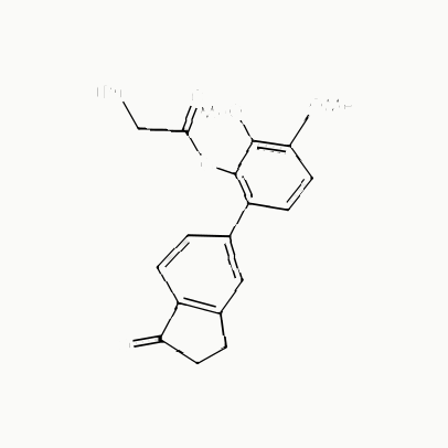 COc1ccc(-c2ccc3c(c2)CCC3=O)c(OC(=O)CC(C)(C)C)c1OC